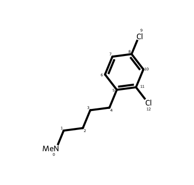 CNCCCCc1ccc(Cl)cc1Cl